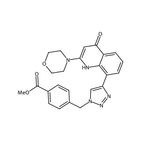 COC(=O)c1ccc(Cn2cc(-c3cccc4c(=O)cc(N5CCOCC5)[nH]c34)nn2)cc1